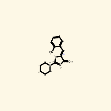 Nc1ccccc1/C=C1\SC(N2CCCCC2)=NC1=O